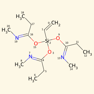 C=C[Si](OC(CC)=NC)(OC(CC)=NC)OC(CC)=NC